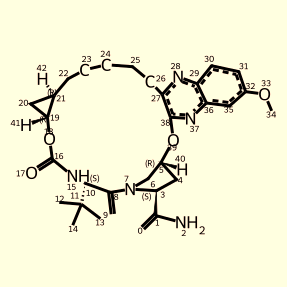 C=C(N)[C@@H]1C[C@@H]2CN1C(=C)[C@H](C(C)(C)C)NC(=O)O[C@@H]1C[C@H]1CCCCCc1nc3ccc(OC)cc3nc1O2